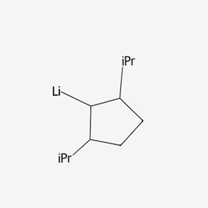 [Li][CH]1C(C(C)C)CCC1C(C)C